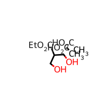 CC(=O)O.CC(=O)O.CCOC(=O)C(CO)CO